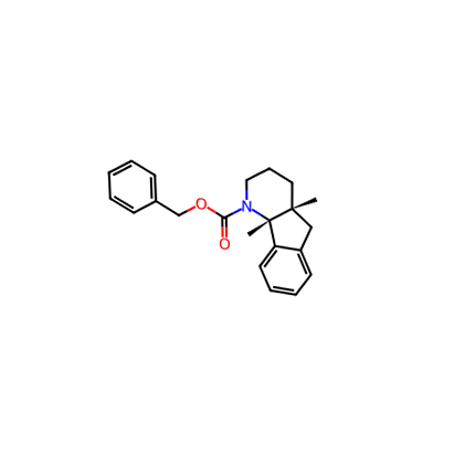 C[C@]12CCCN(C(=O)OCc3ccccc3)[C@@]1(C)c1ccccc1C2